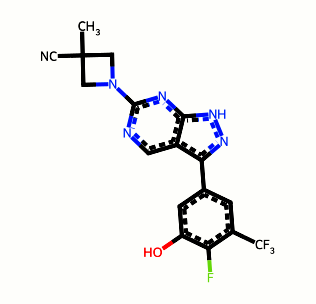 CC1(C#N)CN(c2ncc3c(-c4cc(O)c(F)c(C(F)(F)F)c4)n[nH]c3n2)C1